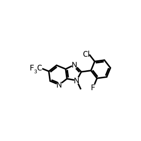 Cn1c(-c2c(F)cccc2Cl)nc2cc(C(F)(F)F)cnc21